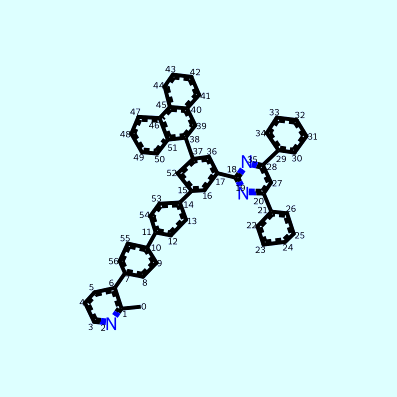 Cc1ncccc1-c1ccc(-c2ccc(-c3cc(-c4nc(-c5ccccc5)cc(-c5ccccc5)n4)cc(-c4cc5ccccc5c5ccccc45)c3)cc2)cc1